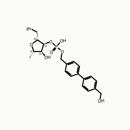 CC(C)C[C@H]1O[C@@H](C)[C@H](O)[C@@H]1OP(=O)(O)OCc1ccc(-c2ccc(CO)cc2)cc1